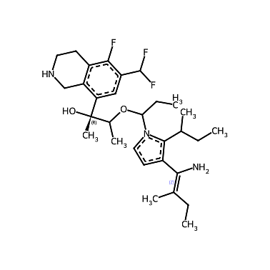 CC/C(C)=C(\N)c1ccn(C(CC)OC(C)[C@](C)(O)c2cc(C(F)F)c(F)c3c2CNCC3)c1C(C)CC